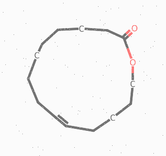 O=C1CCCCCCC/C=C\CCCCO1